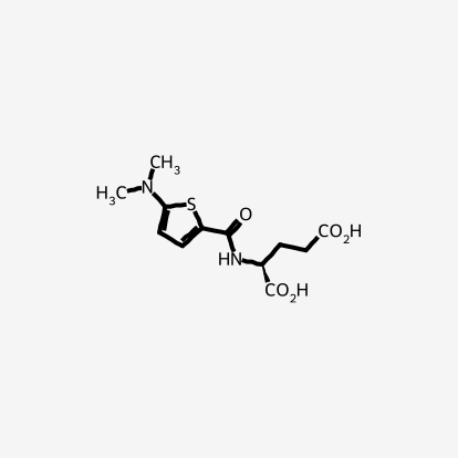 CN(C)c1ccc(C(=O)N[C@@H](CCC(=O)O)C(=O)O)s1